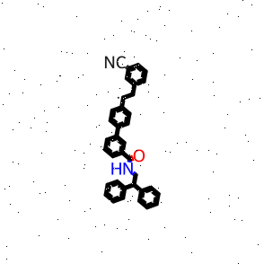 N#Cc1cccc(C[CH]c2ccc(-c3cccc(C(=O)NCC(c4ccccc4)c4ccccc4)c3)cc2)c1